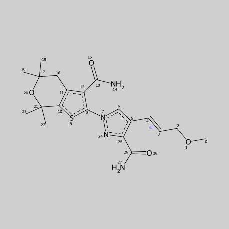 COC/C=C/c1cn(-c2sc3c(c2C(N)=O)CC(C)(C)OC3(C)C)nc1C(N)=O